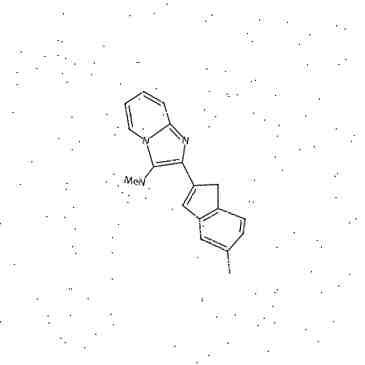 CNc1c(C2=Cc3cc(C)ccc3C2)nc2ccccn12